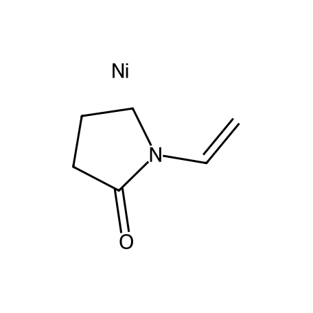 C=CN1CCCC1=O.[Ni]